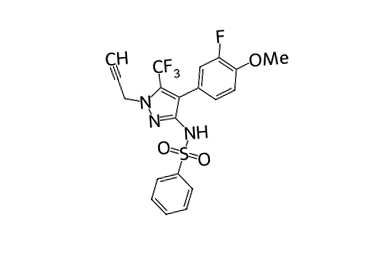 C#CCn1nc(NS(=O)(=O)c2ccccc2)c(-c2ccc(OC)c(F)c2)c1C(F)(F)F